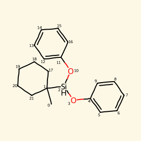 CC1([SiH](Oc2ccccc2)Oc2ccccc2)CCCCC1